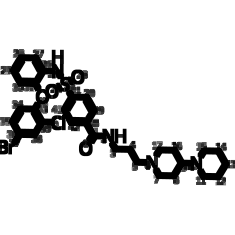 O=C(NCCCN1CCC(N2CCCCC2)CC1)c1ccc(S(=O)(=O)Nc2ccccc2Oc2ccc(Br)cc2Cl)cc1